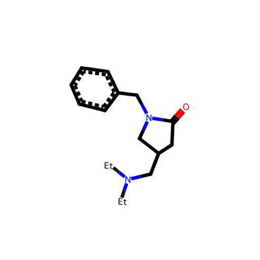 CCN(CC)CC1CC(=O)N(Cc2ccccc2)C1